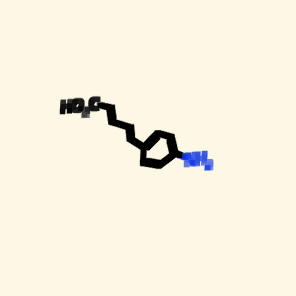 Nc1ccc(C=CC=CC(=O)O)cc1